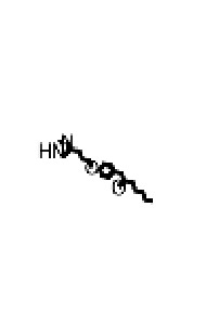 CCCCCC(=O)Cc1ccc(OCCCc2c[nH]cn2)cc1